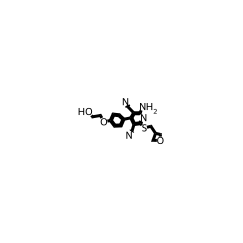 N#Cc1c(N)nc(SCC2COC2)c(C#N)c1-c1ccc(OCCO)cc1